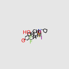 C[C@]12C=CC(=O)C=C1[C@@H](F)C[C@H]1[C@@H]3C[C@H]4CN(Cc5ccccc5)C[C@@]4(C(=O)SCI)[C@@]3(C)C[C@H](O)[C@@]12F